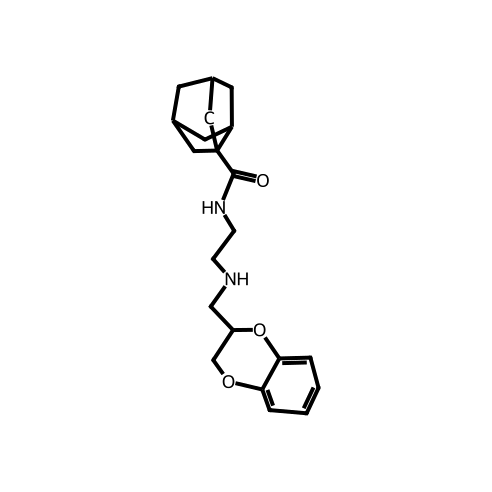 O=C(NCCNCC1COc2ccccc2O1)C12CC3CC(CC1C3)C2